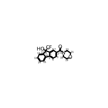 O=C(c1ccc2c(c1)C(O)(C(F)(F)F)c1ccccc1-2)N1CCOCC1